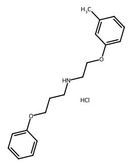 Cc1cccc(OCCNCCCOc2ccccc2)c1.Cl